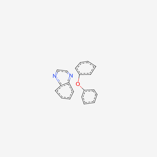 c1ccc(Oc2ccccc2)cc1.c1ccc2nccnc2c1